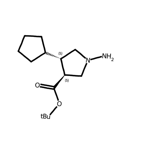 CC(C)(C)OC(=O)[C@@H]1CN(N)C[C@H]1C1CCCC1